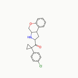 O=C(C1CC2c3ccccc3OCC2N1)C1(c2ccc(Cl)cc2)CC1